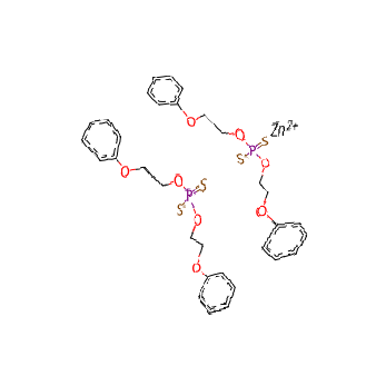 S=P([S-])(OCCOc1ccccc1)OCCOc1ccccc1.S=P([S-])(OCCOc1ccccc1)OCCOc1ccccc1.[Zn+2]